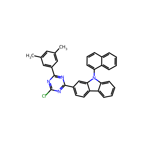 Cc1cc(C)cc(-c2nc(Cl)nc(-c3ccc4c5ccccc5n(-c5cccc6ccccc56)c4c3)n2)c1